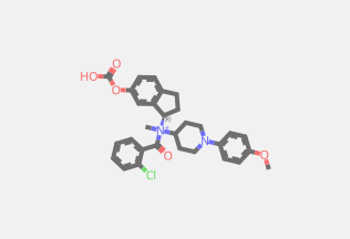 COc1ccc(N2CCC([N+](C)(C(=O)c3ccccc3Cl)[C@@H]3CCc4ccc(OC(=O)O)cc43)CC2)cc1